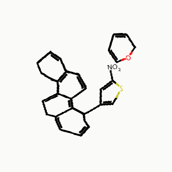 C1=CCOC=C1.O=[N+]([O-])c1cc(C2C=CC=C3CC=c4c5c(ccc4=C32)C=CCC5)cs1